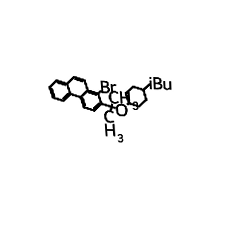 CCC(C)C1CCC(OC(C)(C)c2ccc3c(ccc4ccccc43)c2Br)CC1